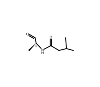 CC(C)CC(=O)N[C@@H](C)C=O